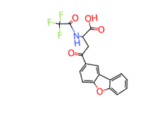 O=C(CC(NC(=O)C(F)(F)F)C(=O)O)c1ccc2oc3ccccc3c2c1